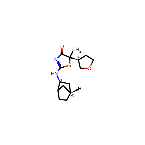 CC1([C@H]2CCOC2)SC(N[C@H]2C[C@@H]3CCC2C3)=NC1=O